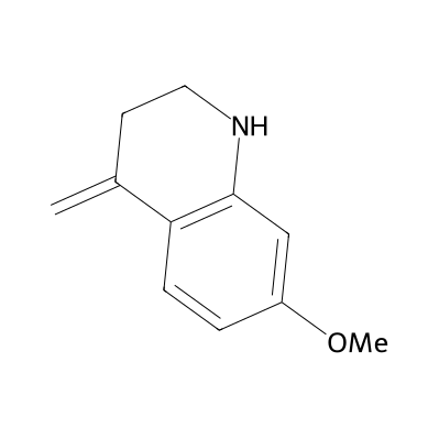 C=C1CCNc2cc(OC)ccc21